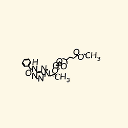 CCOC(=O)CCC1COP(=O)(CO[C@H](C)Cn2cnc3c(NC(=O)c4ccccc4)ncnc32)OC1